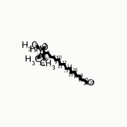 CCNC(=O)C(CCCCCCCCCCCCCCCC=O)N(CC)CC